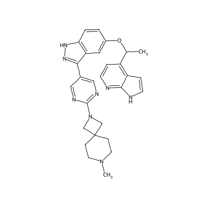 CC(Oc1ccc2[nH]nc(-c3cnc(N4CC5(CCN(C)CC5)C4)nc3)c2c1)c1ccnc2[nH]ccc12